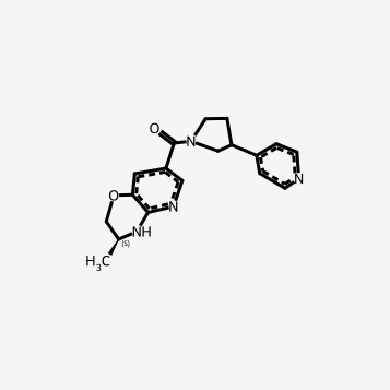 C[C@H]1COc2cc(C(=O)N3CCC(c4ccncc4)C3)cnc2N1